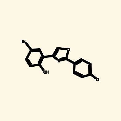 Oc1ccc(Br)cc1-c1coc(-c2ccc(Cl)cc2)n1